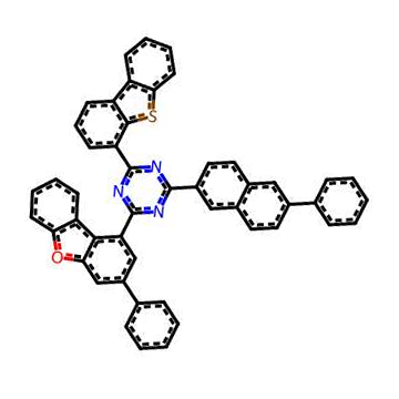 c1ccc(-c2ccc3cc(-c4nc(-c5cccc6c5sc5ccccc56)nc(-c5cc(-c6ccccc6)cc6oc7ccccc7c56)n4)ccc3c2)cc1